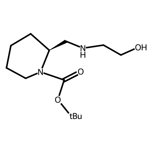 CC(C)(C)OC(=O)N1CCCC[C@H]1CNCCO